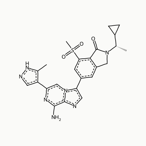 Cc1[nH]ncc1-c1cn2c(-c3cc4c(c(S(C)(=O)=O)c3)C(=O)N([C@@H](C)C3CC3)C4)cnc2c(N)n1